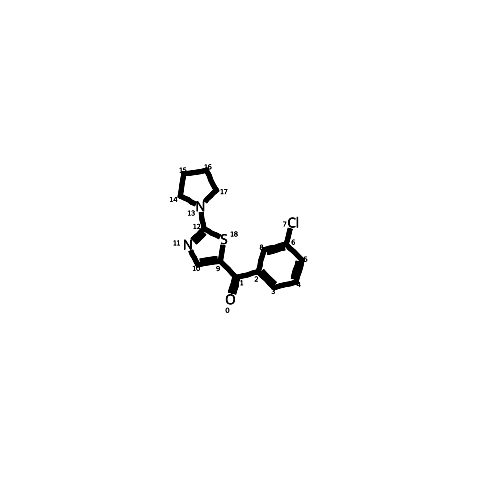 O=C(c1cccc(Cl)c1)c1cnc(N2CCCC2)s1